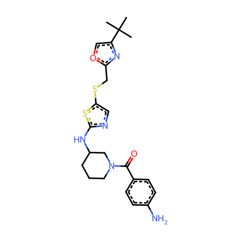 CC(C)(C)c1coc(CSc2cnc(NC3CCCN(C(=O)c4ccc(N)cc4)C3)s2)n1